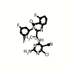 C[C@H](Nc1nc(N)nc(Cl)c1C#N)c1nc2cccc(F)c2c(=O)n1-c1cc(F)cc(F)c1